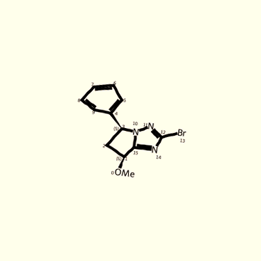 CO[C@H]1C[C@@H](c2ccccc2)n2nc(Br)nc21